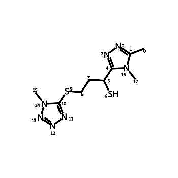 Cc1nnc(C(S)CCSc2nnnn2C)n1C